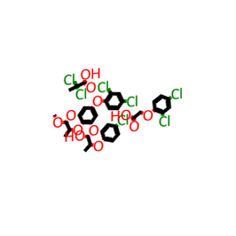 CC(Cl)(Cl)C(=O)O.CC(Oc1ccc(Cl)cc1)C(=O)O.COC(=O)C(C)Oc1ccc(Oc2ccc(Cl)cc2Cl)cc1.O=C(O)COc1ccc(Cl)cc1Cl